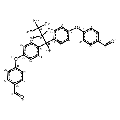 O=Cc1ccc(Oc2ccc(C(F)(c3ccc(Oc4ccc(C=O)cc4)cc3)C(F)(F)C(F)(F)F)cc2)cc1